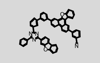 N#Cc1cccc(-c2ccc3c4ccc(-c5cccc(-c6cccc(-c7nc(-c8ccccc8)nc(-c8ccc9c(c8)oc8ccccc89)n7)c6)c5)cc4c4oc5ccccc5c4c3c2)c1